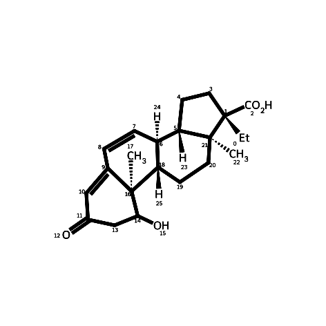 CC[C@]1(C(=O)O)CC[C@H]2[C@@H]3C=CC4=CC(=O)CC(O)[C@]4(C)[C@H]3CC[C@@]21C